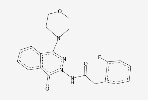 O=C(Cc1ccccc1F)Nn1nc(N2CCOCC2)c2ccccc2c1=O